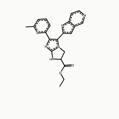 CCOC(=O)C1Cn2c(nc(-c3cccc(C)n3)c2-c2cc3cnccc3s2)N1